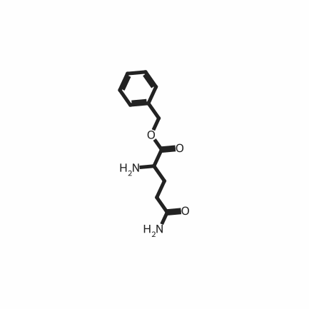 NC(=O)CCC(N)C(=O)OCc1ccccc1